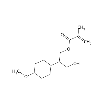 C=C(C)C(=O)OCC(CO)C1CCC(OC)CC1